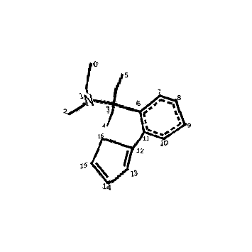 CN(C)C(C)(C)c1ccccc1C1=CC=CC1